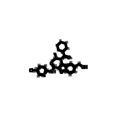 CN(C)N(C(=O)C1CCCCC1)c1c(C(=O)Nc2ccc(Cl)cn2)oc2ccc(CO)cc12